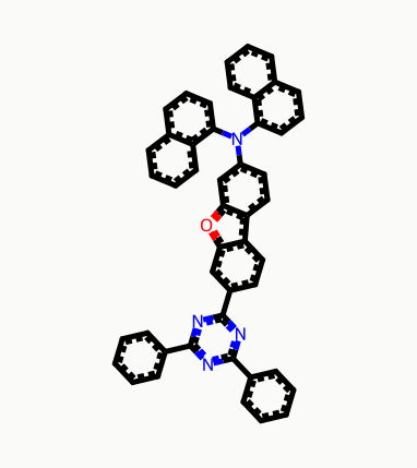 c1ccc(-c2nc(-c3ccccc3)nc(-c3ccc4c(c3)oc3cc(N(c5cccc6ccccc56)c5cccc6ccccc56)ccc34)n2)cc1